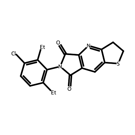 CCc1ccc(Cl)c(CC)c1N1C(=O)c2cc3c(nc2C1=O)CCS3